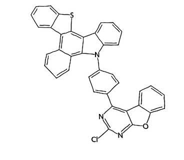 Clc1nc(-c2ccc(-n3c4ccccc4c4c5sc6ccccc6c5c5ccccc5c43)cc2)c2c(n1)oc1ccccc12